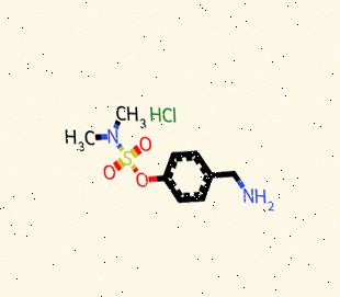 CN(C)S(=O)(=O)Oc1ccc(CN)cc1.Cl